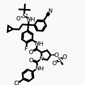 CC(C)(C)[S@@+]([O-])NC(CCC1CC1)(c1cccc(C#N)c1)c1ccc(F)c(NC(=O)C2C[C@@H](OS(C)(=O)=O)CN2C(=O)Nc2ccc(Cl)cc2)c1